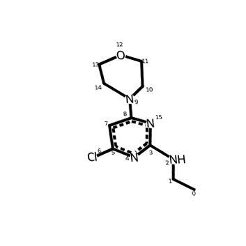 CCNc1nc(Cl)cc(N2CCOCC2)n1